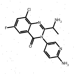 CC(N)c1nc2c(Cl)cc(F)cc2c(=O)n1-c1ccc(N)nc1